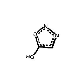 Oc1[c]nno1